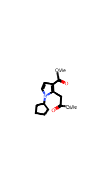 COC(=O)Cc1c(C(=O)OC)ccn1C1CCCC1